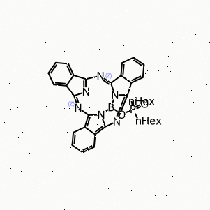 CCCCCCP(=O)(CCCCCC)OB1n2c3c4ccccc4c2/N=C2N=C(/N=c4/c5ccccc5c(n41)=N3)c1ccccc1\2